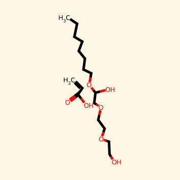 C=CC(=O)O.CCCCCCCCOC(O)COCCOCCO